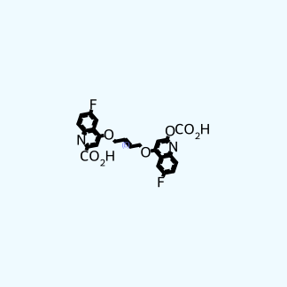 O=C(O)Oc1cc(OC/C=C/COc2cc(C(=O)O)nc3ccc(F)cc23)c2cc(F)ccc2n1